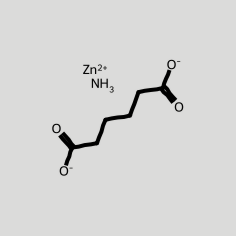 N.O=C([O-])CCCCC(=O)[O-].[Zn+2]